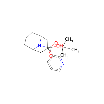 CC(C)(C)OC(=O)N1C2CCCC1CC(O)(c1cccnc1)C2